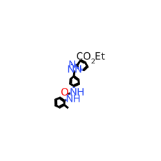 CCOC(=O)c1cccn2c(-c3ccc(NC(=O)Nc4ccccc4C)cc3)nnc12